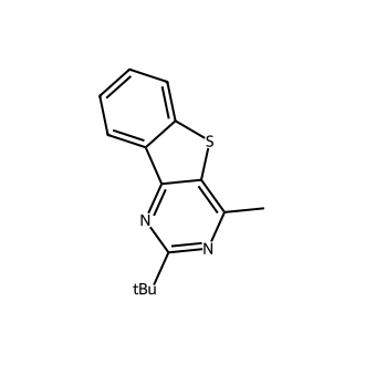 Cc1nc(C(C)(C)C)nc2c1sc1ccccc12